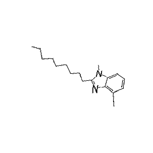 CCCCCCCCCc1nc2c(C)cccc2n1C